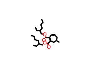 CCCCC(CC)COC(=O)C1=C(C(=O)OCC(CC)CCCC)CC(C)CC=C1